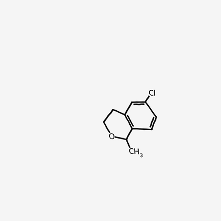 CC1OCCc2cc(Cl)ccc21